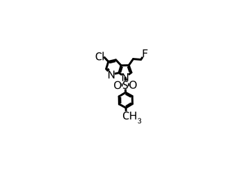 Cc1ccc(S(=O)(=O)n2cc(CCF)c3cc(Cl)cnc32)cc1